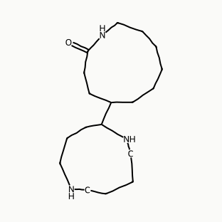 O=C1CCC(C2CCCNCCCCN2)CCCCCCN1